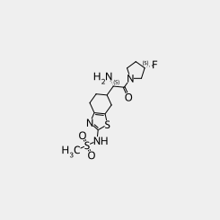 CS(=O)(=O)Nc1nc2c(s1)CC([C@H](N)C(=O)N1CC[C@H](F)C1)CC2